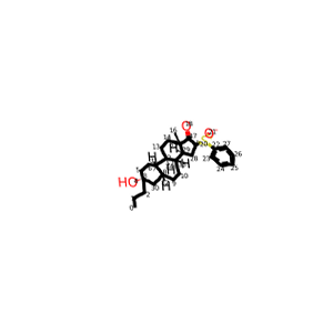 CCC[C@@]1(O)CC[C@H]2[C@H](CC[C@@H]3[C@@H]2CC[C@]2(C)C(=O)C([S+]([O-])c4ccccc4)C[C@@H]32)C1